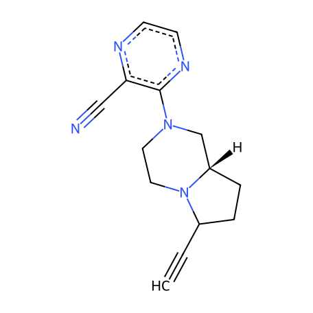 C#CC1CC[C@H]2CN(c3nccnc3C#N)CCN12